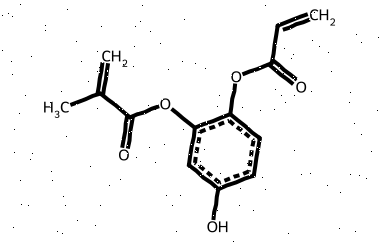 C=CC(=O)Oc1ccc(O)cc1OC(=O)C(=C)C